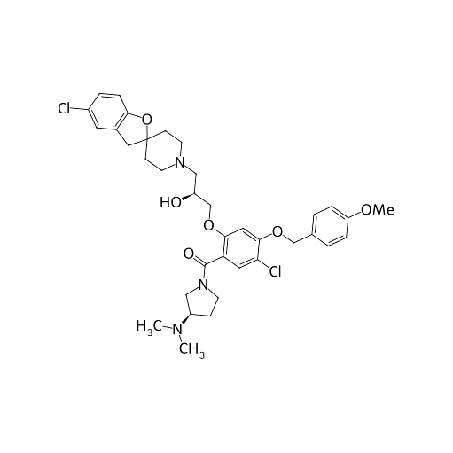 COc1ccc(COc2cc(OC[C@@H](O)CN3CCC4(CC3)Cc3cc(Cl)ccc3O4)c(C(=O)N3CC[C@@H](N(C)C)C3)cc2Cl)cc1